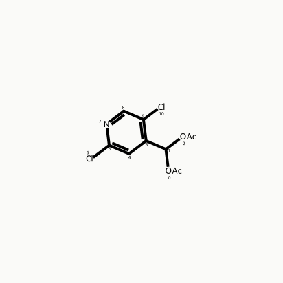 CC(=O)OC(OC(C)=O)c1cc(Cl)ncc1Cl